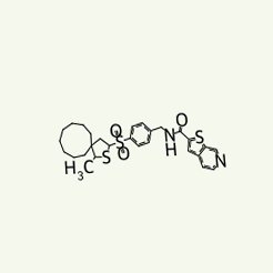 CC1SC(S(=O)(=O)c2ccc(CNC(=O)c3cc4ccncc4s3)cc2)CC12CCCCCCCC2